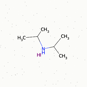 CC(C)NC(C)C.I